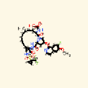 COc1cc2ccnc(OC3CC4C(=O)NC5(C(=O)NS(=O)(=O)C6(C(F)F)CC6)CC5C=CCCC(C)CC(C)C(NC(=O)O)C(=O)N4C3)c2cc1F